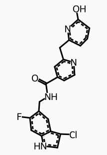 O=C(NCc1cc2c(Cl)c[nH]c2cc1F)c1ccnc(Cc2cccc(O)n2)c1